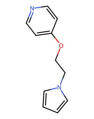 c1ccn(CCOc2ccncc2)c1